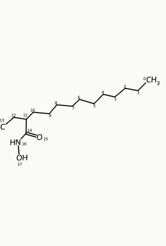 CCCCCCCCCCCC(CC)C(=O)NO